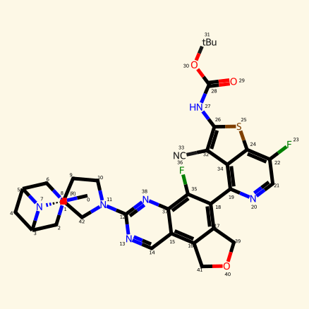 CN1CC2CC(C1)N2[C@@H]1CCN(c2ncc3c4c(c(-c5ncc(F)c6sc(NC(=O)OC(C)(C)C)c(C#N)c56)c(F)c3n2)COC4)C1